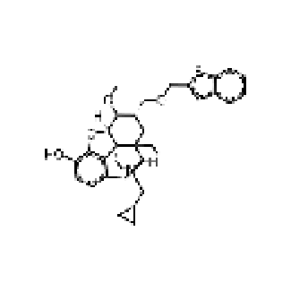 CC[C@]12C[C@@H](COCc3cc4ccccc4s3)C(OC)[C@@H]3Oc4c(O)ccc5c4[C@@]31CCN(CC1CC1)[C@@H]2C5